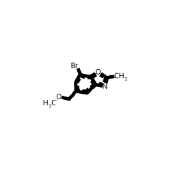 COCc1cc(Br)c2oc(C)nc2c1